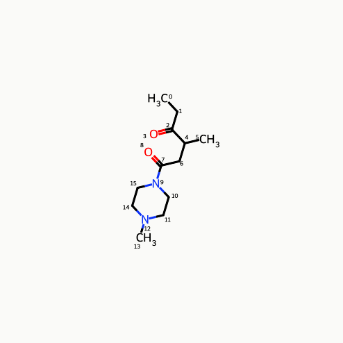 CCC(=O)C(C)CC(=O)N1CCN(C)CC1